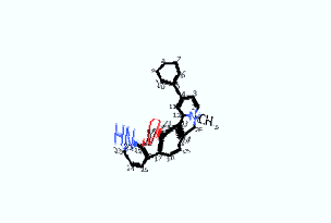 C[N+]12C=CC(C3CCCCC3)=CC1c1c(ccc3c4c(oc13)NCC=C4)C2